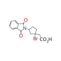 O=C(O)CC1(Br)CCC(N2C(=O)c3ccccc3C2=O)C1